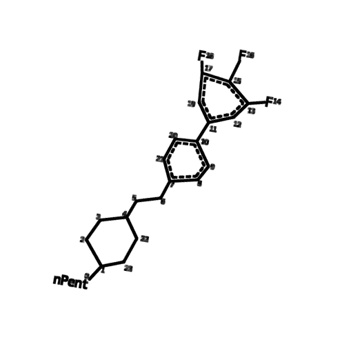 CCCCCC1CCC(CCc2ccc(-c3cc(F)c(F)c(F)c3)cc2)CC1